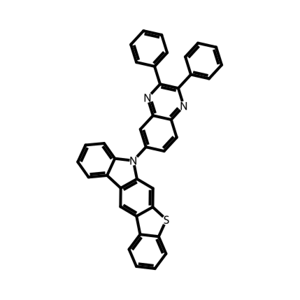 c1ccc(-c2nc3ccc(-n4c5ccccc5c5cc6c(cc54)sc4ccccc46)cc3nc2-c2ccccc2)cc1